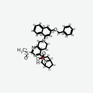 C[S+]([O-])c1nc2c(c(N3CC4CCC(C3)N4C(=O)O)n1)CCN(c1cc(OCc3ccccc3)cc3ccccc13)C2